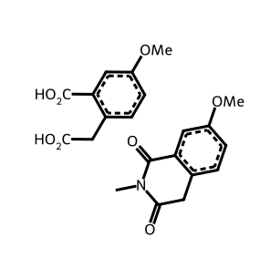 COc1ccc(CC(=O)O)c(C(=O)O)c1.COc1ccc2c(c1)C(=O)N(C)C(=O)C2